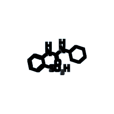 O=C(Nc1ccccc1S(=O)(=O)O)NC1CCCCC1